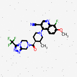 COc1ccc2c(N3CC[C@H](C(=O)N4CCn5c(nnc5C(F)(F)F)C4)[C@H](C)C3)c(C#N)cnc2c1F